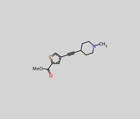 COC(=O)c1cc(C#CC2CCN(C)CC2)cs1